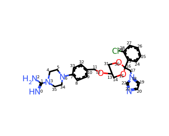 N=C(N)N1CCN(c2ccc(COC3COC(Cn4ccnc4)(c4ccccc4Cl)OC3)cc2)CC1